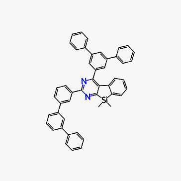 C[Si]1(C)c2ccccc2-c2c(-c3cc(-c4ccccc4)cc(-c4ccccc4)c3)nc(-c3cccc(-c4cccc(-c5ccccc5)c4)c3)nc21